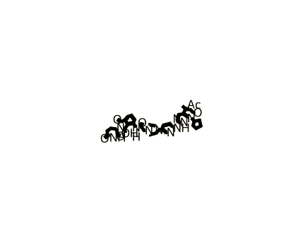 CC(=O)c1c(C)c2cnc(Nc3ccc(N4CCN(CC(=O)Nc5cccc6c5C(O)N(C5CCC(=O)NC5=O)C6=O)CC4)cn3)nc2n(C2CCCC2)c1=O